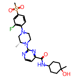 C[C@@H]1CN(c2ccc(S(C)(=O)=O)cc2F)CCN1c1nccc(C(=O)NC2CCC(C)(O)CC2)n1